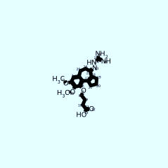 COc1cc2c(c(OCCCC(=O)O)c1OC)C1=C(CCC1)C(=NNC(=N)N)CC2